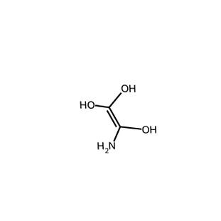 NC(O)=C(O)O